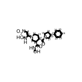 O=C(NO)[C@H]1CN(C(=C[N+](=O)[O-])NO)CC[C@@H]1C(=O)N1CC[C@H](c2ccccc2)C1